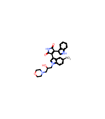 O=C1NC(=O)C(c2cn(CC(O)CN3CCOCC3)c3ccc([N+](=O)[O-])cc23)=C1c1c[nH]c2ccccc12